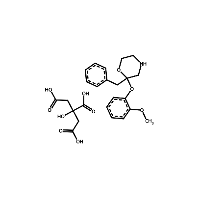 COc1ccccc1OC1(Cc2ccccc2)CNCCO1.O=C(O)CC(O)(CC(=O)O)C(=O)O